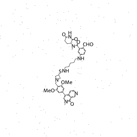 COc1cc(-c2cn(C)c(=O)c3cnccc23)cc(OC)c1CN1CC(SNCCCCCNc2ccc(C=O)c(C(=O)N(C)C3CCC(=O)NC3=O)c2)C1